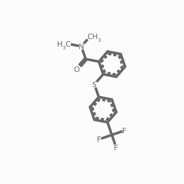 CN(C)C(=O)c1ccccc1Sc1ccc(C(F)(F)F)cc1